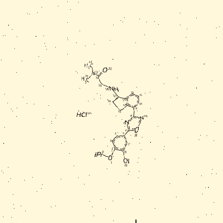 CC(C)Oc1ccc(-c2nc(-c3cccc4c3CCC4NCC(=O)N(C)C)no2)cc1C#N.Cl